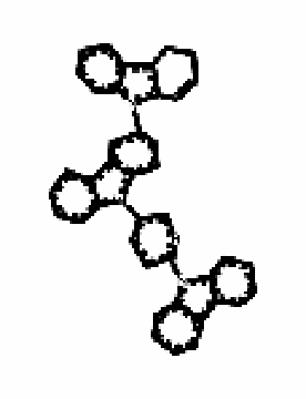 C1=Cc2c(c3ccccc3n2-c2ccc3c(c2)c2ccccc2n3-c2ccc(-n3c4ccccc4c4ccccc43)nc2)CC1